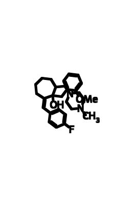 COc1ccccc1CC1(O)/C(=C\c2ccc(F)cc2)CCCCC1CN1CCN(C)CC1